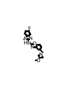 COC1CN(Cc2ccc3oc(Nc4nc5cc(F)ccc5n4C)nc3c2)C1